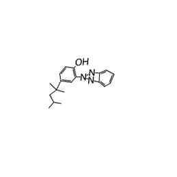 CC(C)CC(C)(C)c1ccc(O)c(-n2n3c4ccccc4n23)c1